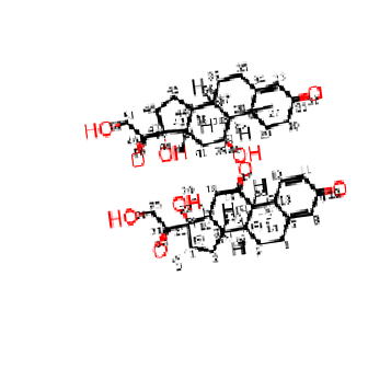 C[C@H]1C[C@H]2[C@@H]3CCC4=CC(=O)C=C[C@]4(C)[C@H]3C(=O)C[C@]2(C)[C@@]1(O)C(=O)CO.C[C@]12CCC(=O)C=C1CC[C@@H]1[C@@H]2[C@@H](O)C[C@@]2(C)[C@H]1CC[C@]2(O)C(=O)CO